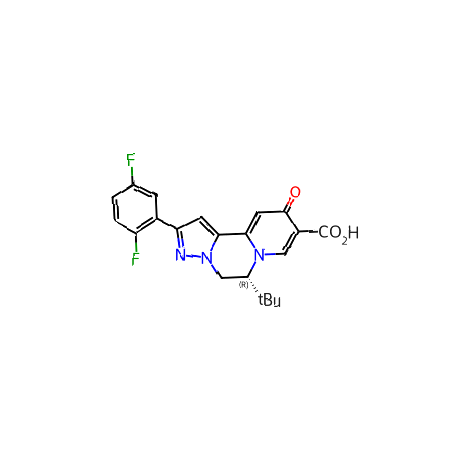 CC(C)(C)[C@@H]1Cn2nc(-c3cc(F)ccc3F)cc2-c2cc(=O)c(C(=O)O)cn21